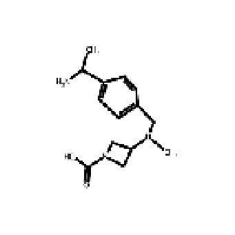 CC(N)c1ccc(CN(C)C2CN(C(=O)O)C2)cc1